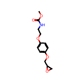 COC(=O)NCCOc1ccc(OCC2CO2)cc1